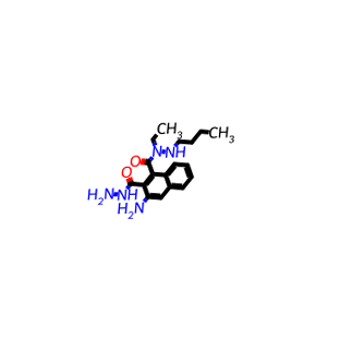 CCCCNN(CC)C(=O)c1c(C(=O)NN)c(N)cc2ccccc12